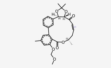 COCOc1cc(C)cc2c1C(=O)O[C@@H](C)C/C=C\C(=O)[C@H]1OC(C)(C)O[C@@H]1c1cccc-2c1